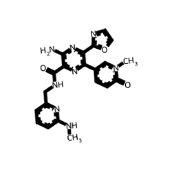 CNc1cccc(CNC(=O)c2nc(-c3ccc(=O)n(C)c3)c(-c3ncco3)nc2N)n1